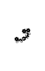 O=C(Nc1ccccc1-c1ccccc1)c1csc(C2CCN(C(=O)CCc3ccccc3Cl)CC2)n1